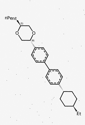 CCCCC[C@H]1CO[C@H](c2ccc(-c3ccc([C@H]4CC[C@H](CC)CC4)cc3)cc2)CO1